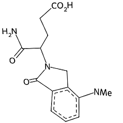 CNc1cccc2c1CN(C(CCC(=O)O)C(N)=O)C2=O